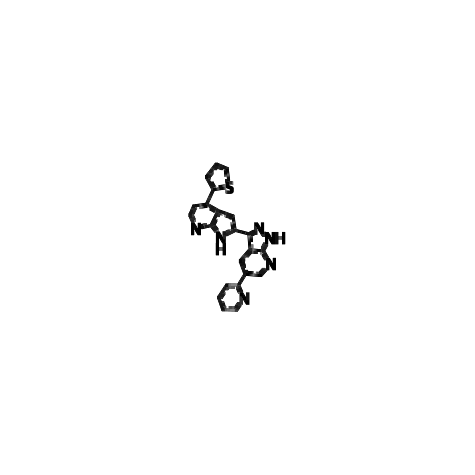 c1ccc(-c2cnc3[nH]nc(-c4cc5c(-c6cccs6)ccnc5[nH]4)c3c2)nc1